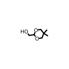 CC1(C)COC(CO)OC1